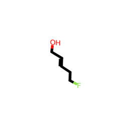 OCC=CCCF